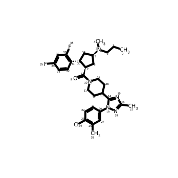 CCCN(C)[C@H]1C[C@@H](C(=O)N2CCC(c3nc(C)nn3-c3ccc(Cl)c(C)c3)CC2)[C@H](c2ccc(F)cc2F)C1